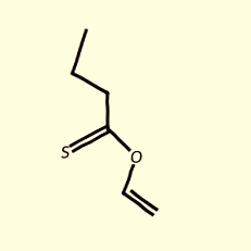 C=COC(=S)CCC